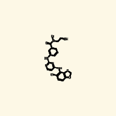 CCN(CCO)C(=O)c1cccc(Nc2nccc(Nc3c(Cl)ccc4c3OCO4)n2)c1